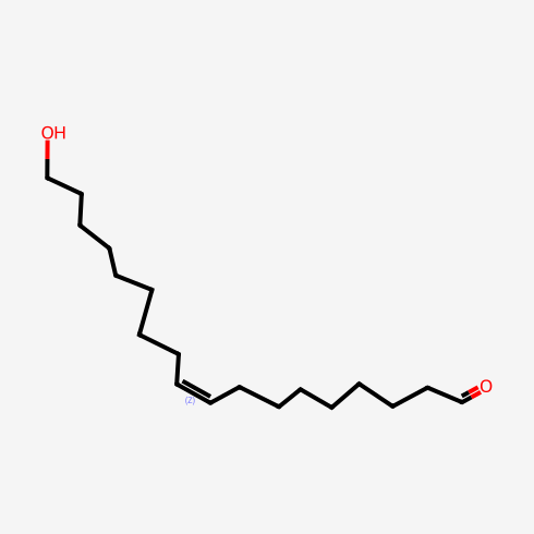 O=CCCCCCCC/C=C\CCCCCCCCO